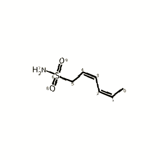 C/C=C\C=C/CS(N)(=O)=O